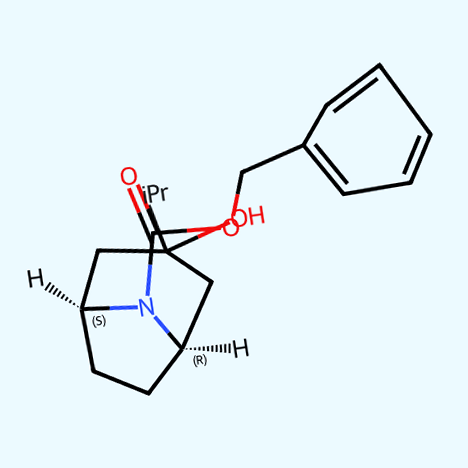 CC(C)C1(O)C[C@H]2CC[C@@H](C1)N2C(=O)OCc1ccccc1